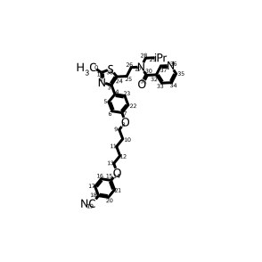 Cc1nc(-c2ccc(OCCCCCOc3ccc(C#N)cc3)cc2)c(CCN(CC(C)C)C(=O)c2cccnc2)s1